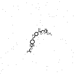 Cc1cnc(CC(=O)N[C@H]2CC[C@](F)(CCN3CCc4nc(OCC(F)F)sc4CC3)CC2)o1